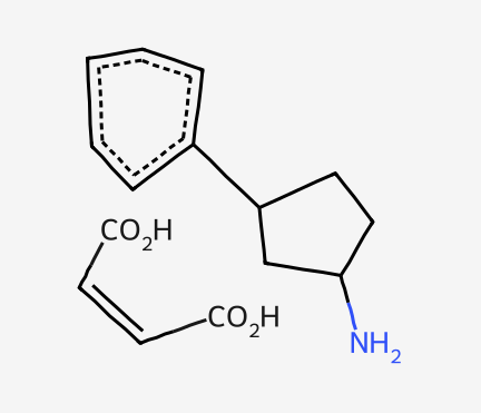 NC1CCC(c2ccccc2)C1.O=C(O)/C=C\C(=O)O